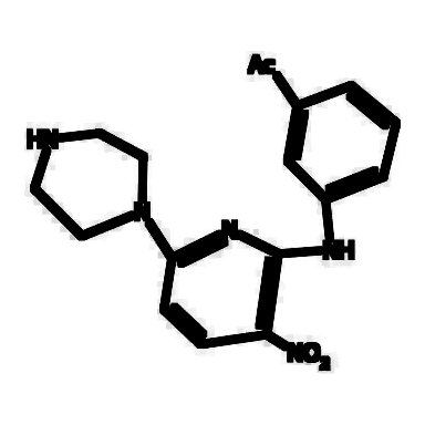 CC(=O)c1cccc(Nc2nc(N3CCNCC3)ccc2[N+](=O)[O-])c1